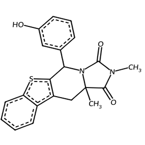 CN1C(=O)N2C(c3cccc(O)c3)c3sc4ccccc4c3CC2(C)C1=O